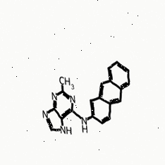 Cc1nc(Nc2ccc3cc4ccccc4cc3c2)c2[nH]cnc2n1